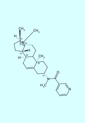 C[C@H]1[C@H]2CC[C@H]3[C@@H]4CC=C5C[C@@H](N(C)C(=O)c6cccnc6)CC[C@]5(C)C4CC[C@]23CN1C